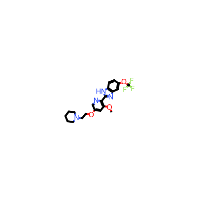 COc1cc(OCCN2CCCCC2)cnc1-c1nc2cc(OC(F)(F)F)ccc2[nH]1